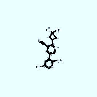 Cc1ncc(N)cc1-c1cnc(C2CC(C)(O)C2)c(C#N)c1